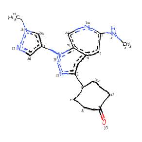 CNc1cc2c(C3CCC(=O)CC3)nn(-c3cnn(C)c3)c2cn1